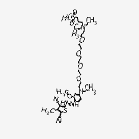 CCN(CCOCCOCCOCCOCC[N+](CC)(CC)CCCS(=O)(=O)O)c1ccc(NNc2sc(C#N)c(C)c2C#N)c(OC)c1